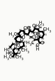 C#CCN[C@@H]1C=C[C@]2(O[C@H]([C@@H](CC)C(=O)[C@@H](C)[C@@H](O)[C@H](C)C3OC(C(CC)C(=O)O)CC[C@@H]3C)[C@@H](C)C[C@H]2C)O[C@@]12CC[C@@](C)([C@H]1CC[C@](O)(CC)[C@H](C)O1)O2